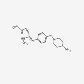 CNC(/C=C\NC=O)=N/c1ccc(CN2CCC(N)CC2)cc1